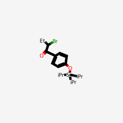 CCC(Br)C(=O)c1ccc(O[Si](C(C)C)(C(C)C)C(C)C)cc1